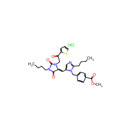 CCCCc1ncc(C=C2C(=O)N(CCCC)C(=O)N2CC(=O)c2cccs2)n1Cc1ccc(C(=O)OC)cc1.Cl